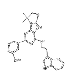 COc1cncc(-c2nc(NCCc3c[nH]c4ccccc34)c3nc4n(c3n2)C(C)(C)CO4)c1